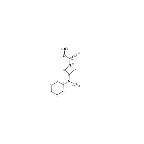 CN(C1CCCCC1)C1CN(C(=O)OC(C)(C)C)C1